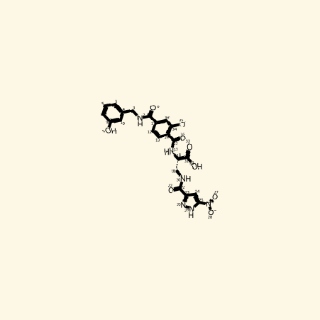 O=C(NCc1cccc(O)c1)c1ccc(C(=O)N[C@@H](CNC(=O)c2cc([N+](=O)[O-])[nH]n2)C(=O)O)c(Cl)c1